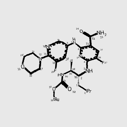 CC(C)C[C@@H](Nc1nc(Nc2cnc(N3CCOCC3)c(F)c2)c(C(N)=O)cc1F)[C@H](C)NC(=O)OC(C)(C)C